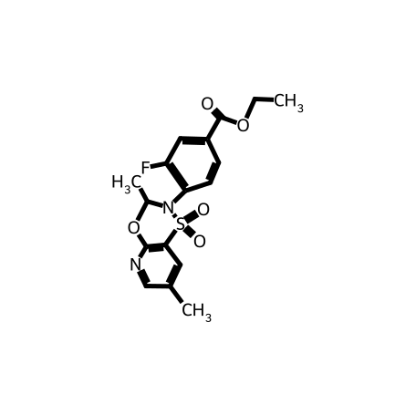 CCOC(=O)c1ccc(N2C(C)Oc3ncc(C)cc3S2(=O)=O)c(F)c1